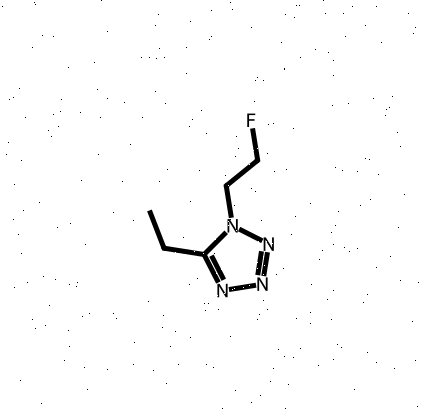 CCc1nnnn1CCF